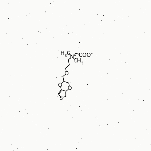 C[N+](C)(CCCOCC1COc2cscc2O1)CC(=O)[O-]